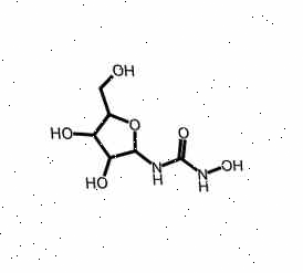 O=C(NO)NC1OC(CO)C(O)C1O